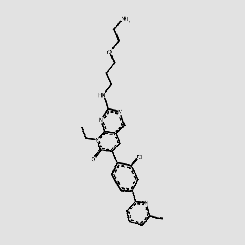 CCn1c(=O)c(-c2ccc(-c3cccc(C)n3)cc2Cl)cc2cnc(NCCCOCCN)nc21